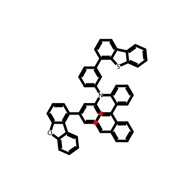 c1cc(-c2cccc3c2sc2ccccc23)cc(N(c2cccc(-c3cccc4oc5ccccc5c34)c2)c2ccccc2-c2cccc3ccccc23)c1